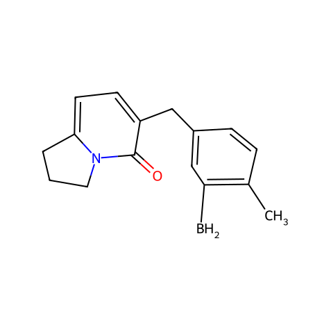 Bc1cc(Cc2ccc3n(c2=O)CCC3)ccc1C